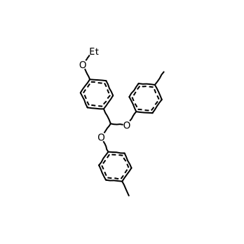 CCOc1ccc(C(Oc2ccc(C)cc2)Oc2ccc(C)cc2)cc1